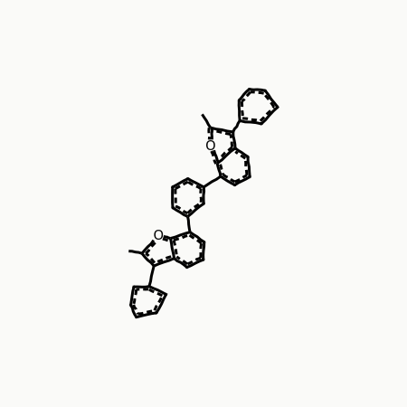 Cc1oc2c(-c3cccc(-c4cccc5c(-c6ccccc6)c(C)oc45)c3)cccc2c1-c1ccccc1